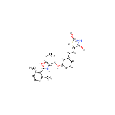 CCc1oc(-c2c(C)cccc2C)nc1COC1CCCC(CCC2SC(=O)NC2=O)C1